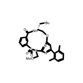 COCN1c2nc(cc(-c3c(C)cccc3C)n2)OC[C@@H](CC(C)(C)C)NC(=O)c2cccc(c2)S1(=O)=O